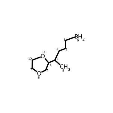 BCCCC(C)C1COCCO1